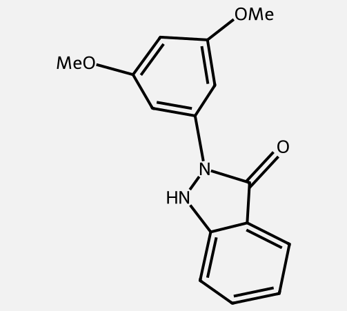 COc1cc(OC)cc(-n2[nH]c3ccccc3c2=O)c1